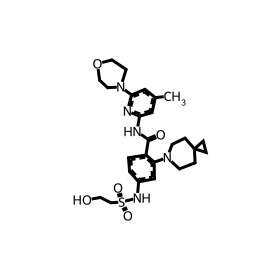 Cc1cc(NC(=O)c2ccc(NS(=O)(=O)CCO)cc2N2CCC3(CC2)CC3)nc(N2CCOCC2)c1